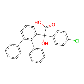 O=C(O)C(O)(c1ccc(Cl)cc1)c1cccc(-c2ccccc2)c1-c1ccccc1